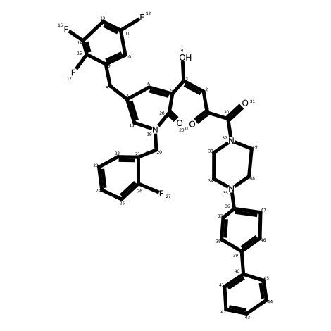 O=C(/C=C(/O)c1cc(Cc2cc(F)cc(F)c2F)cn(Cc2ccccc2F)c1=O)C(=O)N1CCN(c2ccc(-c3ccccc3)cc2)CC1